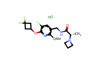 COc1nc(OC2CC(F)(F)C2)c(F)cc1CNC(=O)[C@H](C)N1CCC1.Cl